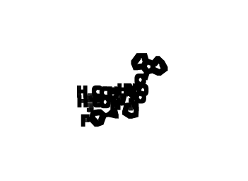 CC(C)(C)OC(=O)N(CC[C@H](NC(=O)OCC1c2ccccc2-c2ccccc21)C(=O)N1CCCCC1)[C@@H]1C[C@H]1c1ccc(F)cc1